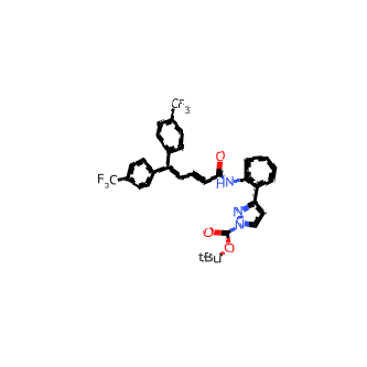 CC(C)(C)OC(=O)n1ccc(-c2ccccc2NC(=O)C=CC=C(c2ccc(C(F)(F)F)cc2)c2ccc(C(F)(F)F)cc2)n1